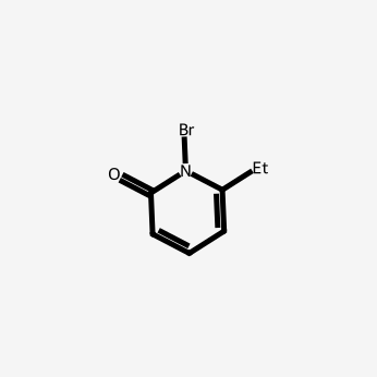 CCc1cccc(=O)n1Br